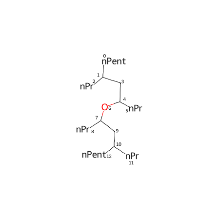 CCCCCC(CCC)CC(CCC)OC(CCC)CC(CCC)CCCCC